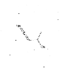 CC(C#N)C=C=N